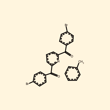 Cc1ccccc1.O=C(c1ccc(Br)cc1)c1cccc(C(=O)c2ccc(Br)cc2)n1